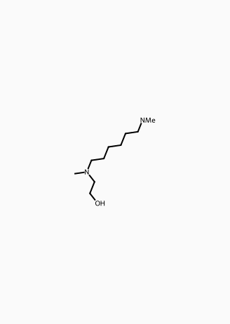 CNCCCCCCN(C)CCO